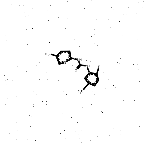 Cc1ccc(NC(=O)Nc2cc(C(F)(F)F)ccc2F)nc1